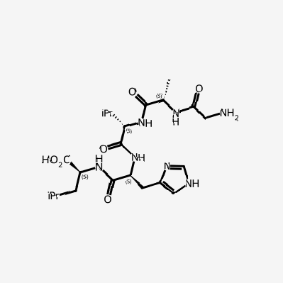 CC(C)C[C@H](NC(=O)[C@H](Cc1c[nH]cn1)NC(=O)[C@@H](NC(=O)[C@H](C)NC(=O)CN)C(C)C)C(=O)O